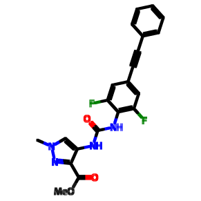 COC(=O)c1nn(C)cc1NC(=O)Nc1c(F)cc(C#Cc2ccccc2)cc1F